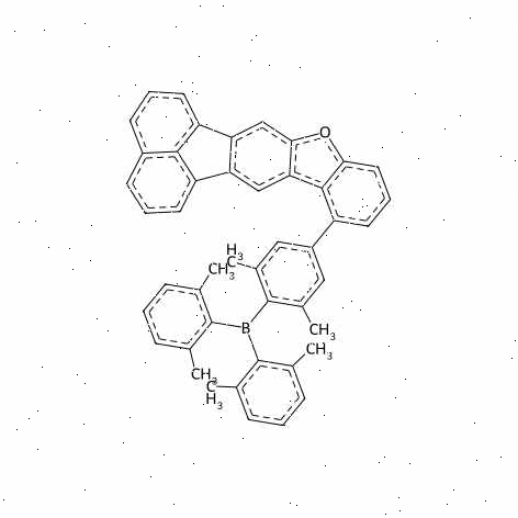 Cc1cccc(C)c1B(c1c(C)cccc1C)c1c(C)cc(-c2cccc3oc4cc5c(cc4c23)-c2cccc3cccc-5c23)cc1C